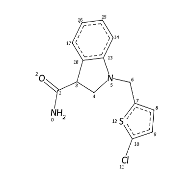 NC(=O)C1CN(Cc2ccc(Cl)s2)c2cc[c]cc21